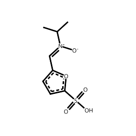 CC(C)[N+]([O-])=Cc1ccc(S(=O)(=O)O)o1